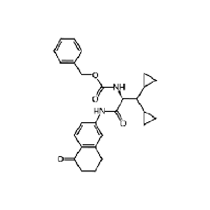 O=C(N[C@H](C(=O)Nc1ccc2c(c1)CCCC2=O)C(C1CC1)C1CC1)OCc1ccccc1